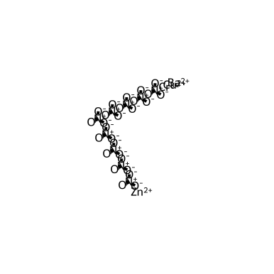 O=[N+]([O-])[O-].O=[N+]([O-])[O-].O=[N+]([O-])[O-].O=[N+]([O-])[O-].O=[N+]([O-])[O-].O=[N+]([O-])[O-].O=[N+]([O-])[O-].O=[N+]([O-])[O-].O=[N+]([O-])[O-].[Ba+2].[Cr+3].[Cu+2].[Zn+2]